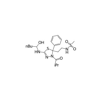 CCCCC(O)NC1=NN(C(=O)C(C)C)C(CCNS(C)(=O)=O)(c2ccccc2)S1